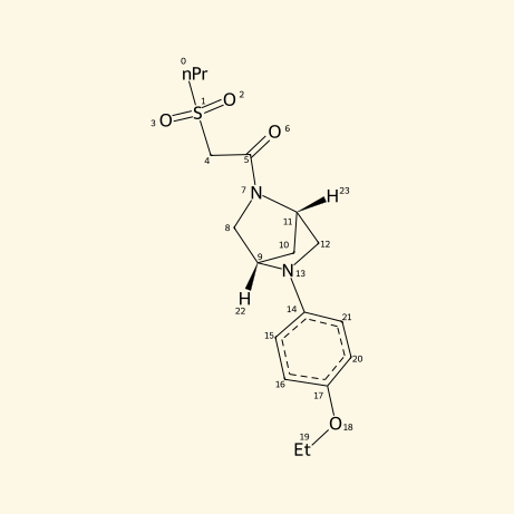 CCCS(=O)(=O)CC(=O)N1C[C@@H]2C[C@H]1CN2c1ccc(OCC)cc1